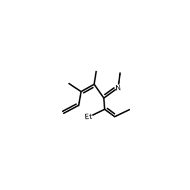 C=C\C(C)=C(C)/C(=N\C)C(=C\C)/CC